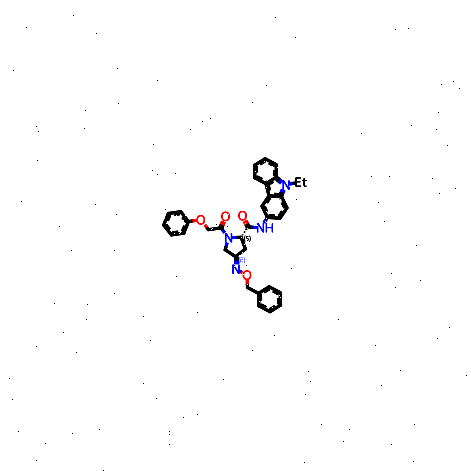 CCn1c2ccccc2c2cc(NC(=O)[C@@H]3C/C(=N\OCc4ccccc4)CN3C(=O)COc3ccccc3)ccc21